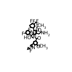 CCOc1c(CC(N)=O)cc([C@@](O)(CNC(=O)c2cc(OC)c3nn(C4(F)CC4)cc3c2)c2cccc(F)c2)nc1-c1cc(C(F)(F)F)c(F)cc1F